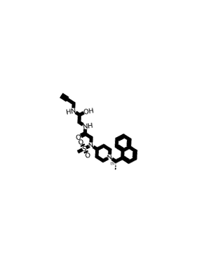 C#CCNC(O)CNC(=O)CN(C1CCN([C@@H](C)c2cccc3ccccc23)CC1)S(C)(=O)=O